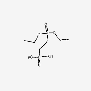 CCOP(=O)(CCP(=O)(O)O)OCC